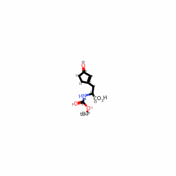 CC(C)(C)OC(=O)NC(CC1=CC(=O)CC1)C(=O)O